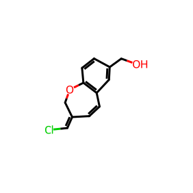 OCc1ccc2c(c1)C=CC(=CCl)CO2